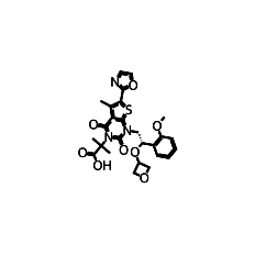 COC1=C([C@@H](Cn2c(=O)n(C(C)(C)C(=O)O)c(=O)c3c(C)c(-c4ncco4)sc32)OC2COC2)C=C=C=C1